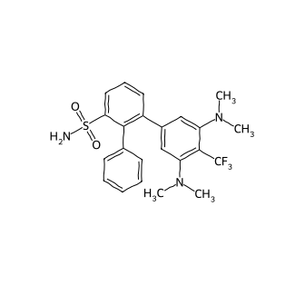 CN(C)c1cc(-c2cccc(S(N)(=O)=O)c2-c2ccccc2)cc(N(C)C)c1C(F)(F)F